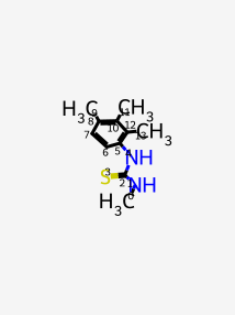 CNC(=S)Nc1ccc(C)c(C)c1C